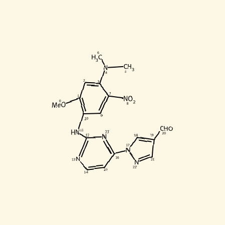 COc1cc(N(C)C)c([N+](=O)[O-])cc1Nc1nccc(-n2cc(C=O)cn2)n1